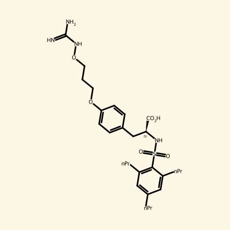 CCCc1cc(CCC)c(S(=O)(=O)N[C@@H](Cc2ccc(OCCCONC(=N)N)cc2)C(=O)O)c(CCC)c1